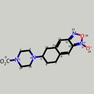 O=C(O)N1CCN(C2CCc3cc4c(cc3C2)no[n+]4[O-])CC1